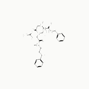 C[C@H]1N([C@@H](CC(=O)O)C(=O)N(C)CCCc2ccccc2)C(=O)CN(C)N1C(=O)NCc1ccccc1